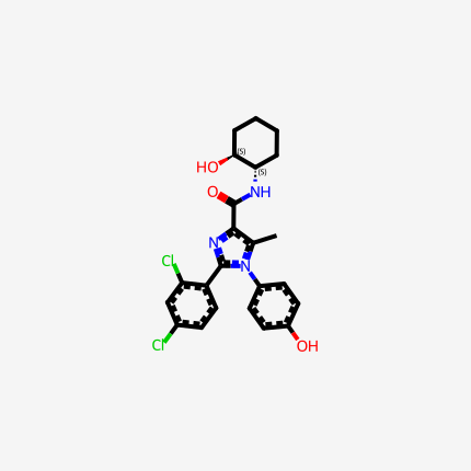 Cc1c(C(=O)N[C@H]2CCCC[C@@H]2O)nc(-c2ccc(Cl)cc2Cl)n1-c1ccc(O)cc1